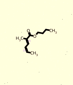 C/C=C\C=C(/C)C(=O)OCCCC